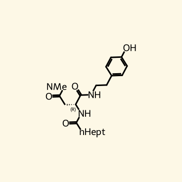 CCCCCCCC(=O)N[C@H](CC(=O)NC)C(=O)NCCc1ccc(O)cc1